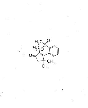 CC1=C(c2ccccc2S(C)(=O)=O)C(C)(C)CC1=O